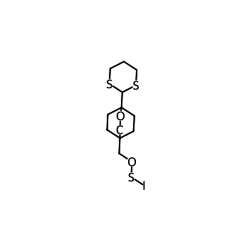 ISOCC12CCC(C3SCCCS3)(CC1)OC2